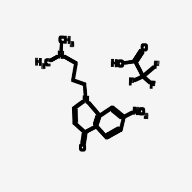 CN(C)CCCn1ccc(=O)c2ccc([N+](=O)[O-])cc21.O=C(O)C(F)(F)F